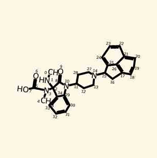 CNC1(N(C)C(=O)O)C(=O)N(C2CCN(C3Cc4cccc5cccc3c45)CC2)c2ccccc21